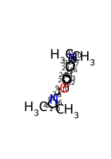 CC1CC(C)CN(CCCOc2ccc([C@H]3CC[C@H](N(C)C)CC3)cc2)C1